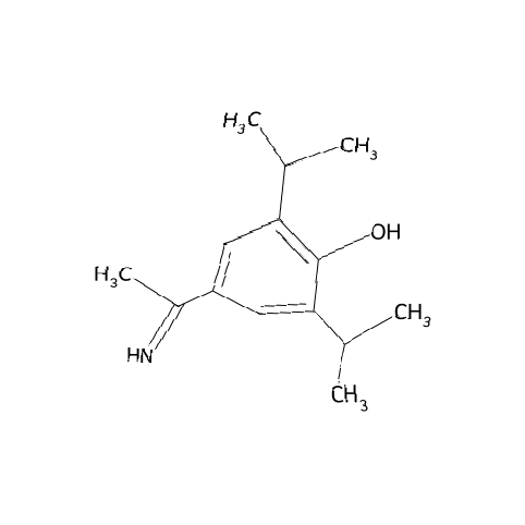 CC(=N)c1cc(C(C)C)c(O)c(C(C)C)c1